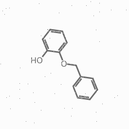 Oc1c[c]ccc1OCc1ccccc1